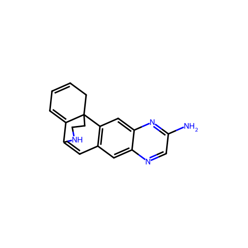 Nc1cnc2cc3c(cc2n1)C12CC=CC=C1C(=C3)NCC2